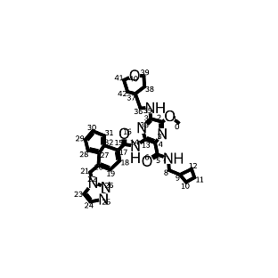 COc1nc(C(=O)NCC2CCC2)c(NC(=O)c2ccc(Cn3ccnn3)c3ccccc23)nc1NCC1CCOCC1